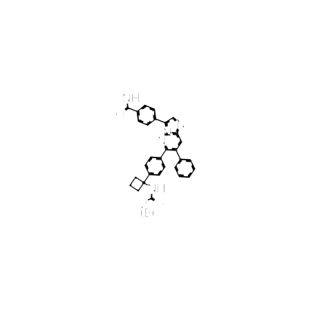 CC(C)(C)OC(=O)NC1(c2ccc(-c3nn4c(-c5ccc(C(N)=O)cc5)cnc4cc3-c3ccccc3)cc2)CCC1